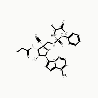 CCC(=O)O[C@H]1[C@@H](O)[C@H](c2ccc3c(N)ncnn23)O[C@]1(C#N)CO[P@@](=O)(NC(C)C(=O)O)Oc1ccccc1